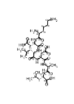 CC(C)C[C@H](NC(=O)[C@H](C)NC(=O)[C@H](CC(=O)O)NC(=O)[C@H](CC(C)C)NC(=O)[C@H](CC(=O)O)NC(=O)[C@@H](N)CCCCN)C(=O)O